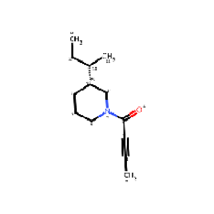 CC#CC(=O)N1CCC[C@H](C(C)CC)C1